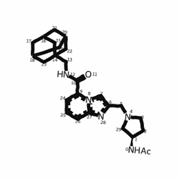 CC(=O)N[C@@H]1CCN(Cc2cn3c(C(=O)NCC45CC6CC(CC(C6)C4)C5)cccc3n2)C1